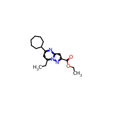 CCOC(=O)c1cc2nc(C3CCCCCC3)cc(CC)n2n1